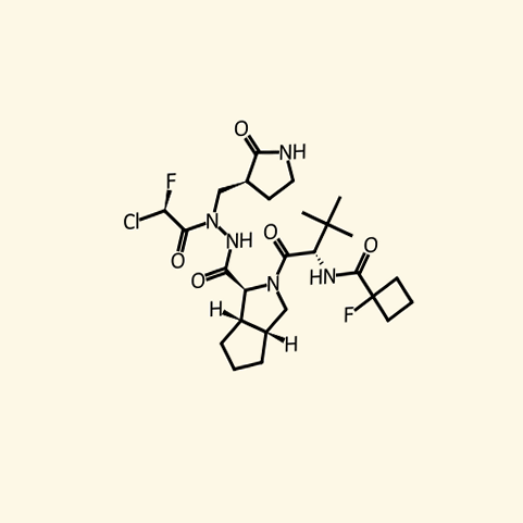 CC(C)(C)[C@H](NC(=O)C1(F)CCC1)C(=O)N1C[C@@H]2CCC[C@@H]2[C@H]1C(=O)NN(C[C@@H]1CCNC1=O)C(=O)[C@H](F)Cl